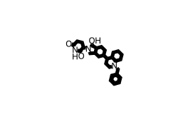 O=C1CCC(N2CC3CC(C4CCN(Cc5ccccc5)C5CCCCC45)CCC3C2O)C(=O)N1